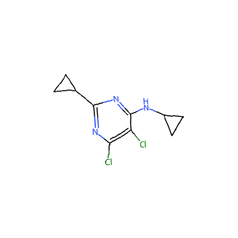 Clc1nc(C2CC2)nc(NC2CC2)c1Cl